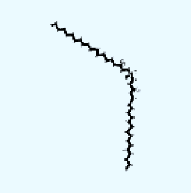 CCCCCCCCCCCCCCCCCC(=O)CC[N+](C)(C)CCC(=O)CCCCCCCCCCCCCCCCC